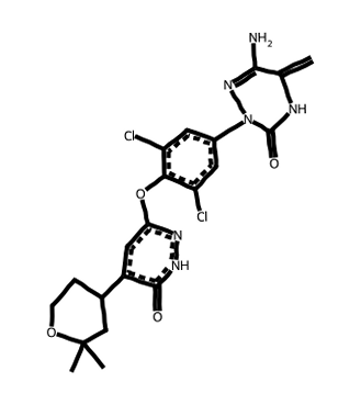 C=C1NC(=O)N(c2cc(Cl)c(Oc3cc(C4CCOC(C)(C)C4)c(=O)[nH]n3)c(Cl)c2)N=C1N